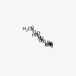 CC(Sc1nnn[nH]1)C1CCN(C(=O)Oc2ccc(NC(=O)c3ccc(CN4CCCCC4C)cc3)cn2)CC1